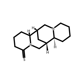 S=C1CCC[C@@H]2[C@H]3C[C@@H](CN12)[C@@H]1CCCCN1C3